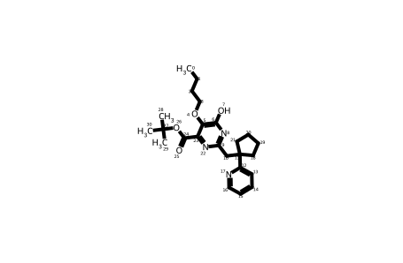 CCCCOc1c(O)nc(CC2(c3ccccn3)CCCC2)nc1C(=O)OC(C)(C)C